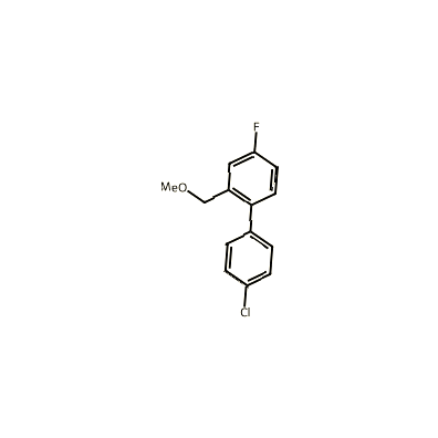 COCc1cc(F)ccc1-c1ccc(Cl)cc1